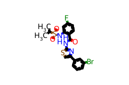 CC(C)S(=O)(=O)Nc1cc(F)ccc1C(=O)Nc1nc(-c2cccc(Br)c2)cs1